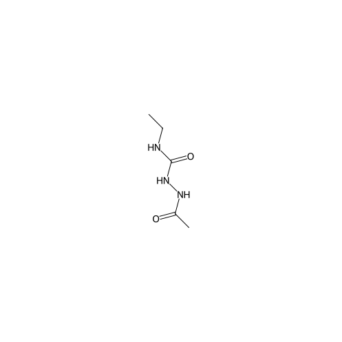 CCNC(=O)NNC(C)=O